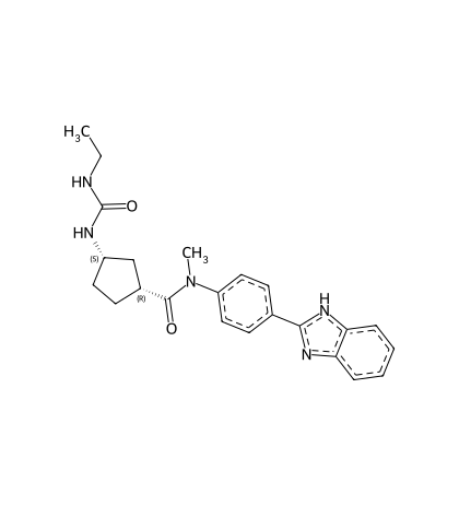 CCNC(=O)N[C@H]1CC[C@@H](C(=O)N(C)c2ccc(-c3nc4ccccc4[nH]3)cc2)C1